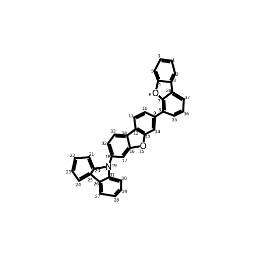 c1ccc2c(c1)oc1c(-c3ccc4c(c3)oc3cc(-n5c6ccccc6c6ccccc65)ccc34)cccc12